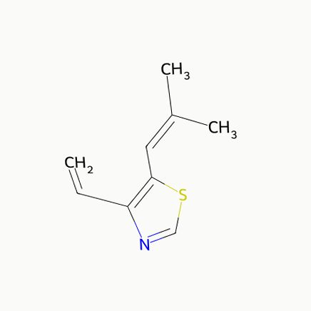 C=Cc1ncsc1C=C(C)C